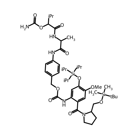 COc1cc(C(=O)N2CCCC2CO[Si](C)(C)C(C)(C)C)c(NC(=O)OCc2ccc(NC(=O)C(C)NC(=O)C(OC(N)=O)C(C)C)cc2)cc1O[Si](C(C)C)(C(C)C)C(C)C